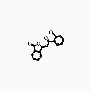 O=C(C=C1OC(=O)c2ccccc21)c1ccccc1Cl